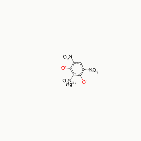 O=[N+]([O-])c1cc([N+](=O)[O-])c([O-])c([N+](=O)[O-])c1[O-].[Hg+2]